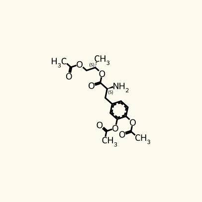 CC(=O)OC[C@H](C)OC(=O)[C@@H](N)Cc1ccc(OC(C)=O)c(OC(C)=O)c1